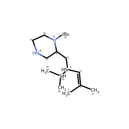 CC(C)=C[SiH](CC1CNCCN1C(C)(C)C)[SiH](C)C